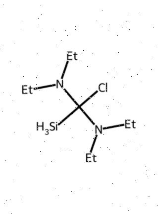 CCN(CC)C([SiH3])(Cl)N(CC)CC